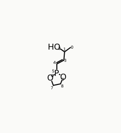 CC(O)C=CP1OCCO1